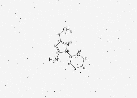 CCc1cc(N)n(C2CCCCO2)n1